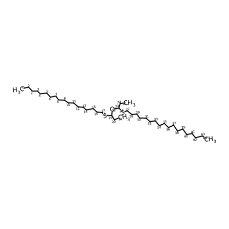 CCCCCCCCCCCCCCCCCCSC(CC)OC(CC)SCCCCCCCCCCCCCCCCCC